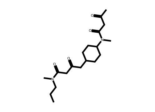 CCCN(C)C(=O)CC(=O)CC1CCC(N(C)C(=O)CC(C)=O)CC1